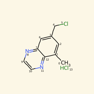 Cc1cc(CCl)cc2nccnc12.Cl